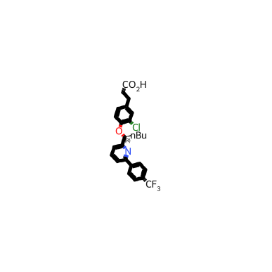 CCCC[C@@H](Oc1ccc(CCC(=O)O)cc1Cl)c1cccc(-c2ccc(C(F)(F)F)cc2)n1